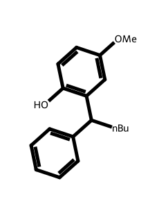 CCCCC(c1ccccc1)c1cc(OC)ccc1O